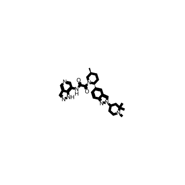 C[C@H]1CC[C@H](c2ccc3nn(C4CCN(C)C(C)(C)C4)cc3c2)N(C(=O)C(=O)Nc2cncc3cn[nH]c23)C1